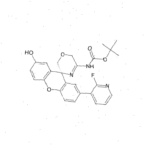 CC(C)(C)OC(=O)NC1=N[C@]2(COC1)c1cc(O)ccc1Oc1ccc(-c3cccnc3F)cc12